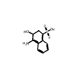 NC1=c2ccccc2=C(S(=O)(=O)O)CC1O